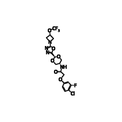 O=C(COc1ccc(Cl)c(F)c1)N[C@H]1CO[C@H](c2nnc(N3CC(OC(F)(F)F)C3)o2)OC1